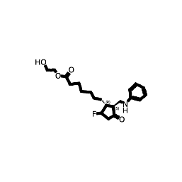 O=C(CCCCCC[C@H]1C(F)CC(=O)[C@@H]1CNc1ccccc1)OCCO